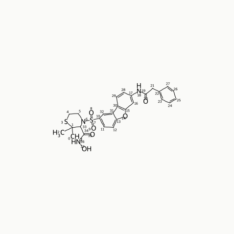 CC1(C)SCCN(S(=O)(=O)c2ccc3oc4cc(NC(=O)Cc5ccccc5)ccc4c3c2)C1C(=O)NO